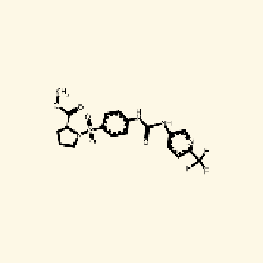 COC(=O)[C@@H]1CCCN1S(=O)(=O)c1ccc(NC(=O)Nc2ccc(C(F)(F)F)nc2)cc1